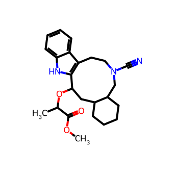 COC(=O)C(C)OC1CC2CCCCC2CN(C#N)CCc2c1[nH]c1ccccc21